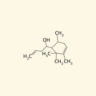 C=CCC(O)C1C(C)CC=C(C)C1(C)C